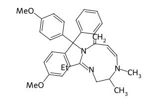 C=C1/C=C\N(C)C(C)C/N=C(\CC)N1C(c1ccccc1)(c1ccc(OC)cc1)c1ccc(OC)cc1